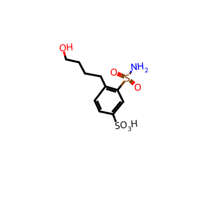 NS(=O)(=O)c1cc(S(=O)(=O)O)ccc1CCCCO